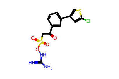 N=C(N)NOS(=O)(=O)CC(=O)c1cccc(-c2csc(Cl)c2)c1